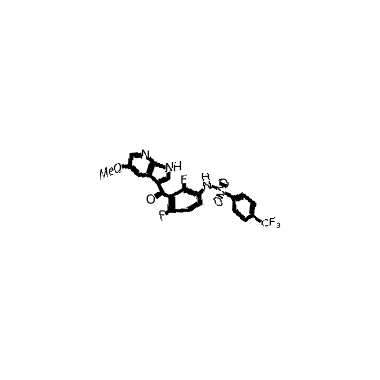 COc1cnc2[nH]cc(C(=O)c3c(F)ccc(NS(=O)(=O)c4ccc(C(F)(F)F)cc4)c3F)c2c1